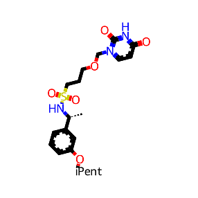 CCCC(C)Oc1cccc([C@@H](C)NS(=O)(=O)CCCOCn2ccc(=O)[nH]c2=O)c1